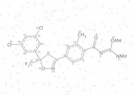 CNC(=NC(=O)c1ccc(C2=NOC(c3cc(Cl)cc(Cl)c3)(C(F)(F)F)C2)cc1C)OC